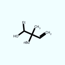 C=CC(C)(CCCC)C(O)CC